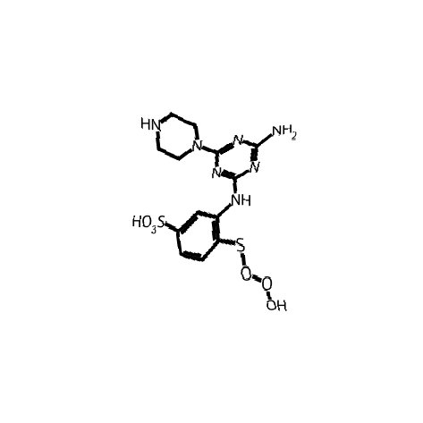 Nc1nc(Nc2cc(S(=O)(=O)O)ccc2SOOO)nc(N2CCNCC2)n1